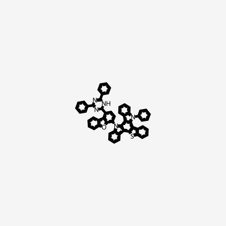 c1ccc(C2=NC(c3ccc(-n4c5ccccc5c5c6sc7ccccc7c6c6c(c7ccccc7n6-c6ccccc6)c54)c4oc5ccccc5c34)NC(c3ccccc3)=N2)cc1